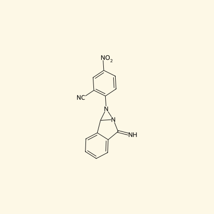 N#Cc1cc([N+](=O)[O-])ccc1N1C2c3ccccc3C(=N)N21